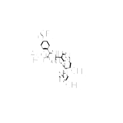 CC(=O)OC(C)(C)C(NC(=O)c1cnn2cc(C)c(-n3cc(C)nn3)nc12)c1ccc(OC(F)(F)F)cc1